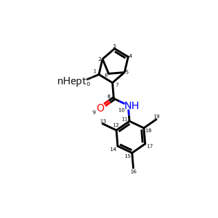 CCCCCCCC1C2C=CC(C2)C1C(=O)Nc1c(C)cc(C)cc1C